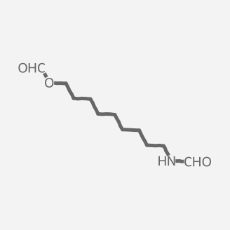 O=CNCCCCCCCCCOC=O